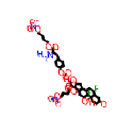 C[C@]12C=CC(=O)C=C1[C@@H](F)CC1C3C[C@@H](O)[C@](OC(=O)CCCO[N+](=O)[O-])(C(=O)COC(=O)Oc4ccc(C[C@H](N)C(=O)OCCCCO[N+](=O)[O-])cc4)[C@@]3(C)C[C@H](O)[C@@]12F